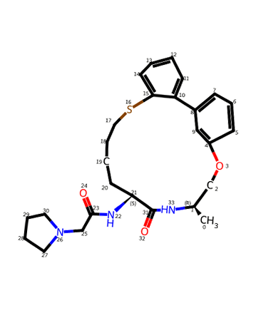 C[C@@H]1COc2cccc(c2)-c2ccccc2SCCCC[C@H](NC(=O)CN2CCCC2)C(=O)N1